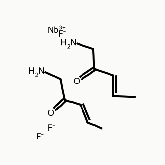 CC=CC(=O)CN.CC=CC(=O)CN.[F-].[F-].[F-].[Nb+3]